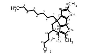 CCCCCCCCC1(CC(CC)CCCC)c2cc(C)sc2-c2sc(C)cc21